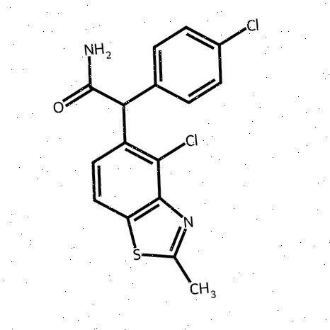 Cc1nc2c(Cl)c(C(C(N)=O)c3ccc(Cl)cc3)ccc2s1